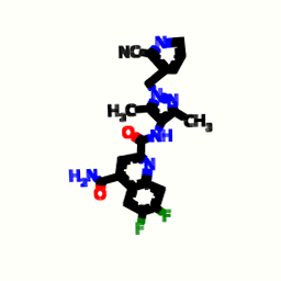 Cc1nn(Cc2cccnc2C#N)c(C)c1NC(=O)c1cc(C(N)=O)c2cc(F)c(F)cc2n1